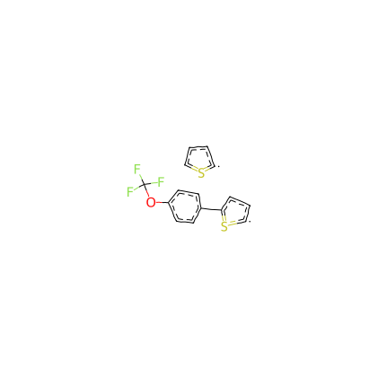 FC(F)(F)Oc1ccc(-c2cc[c]s2)cc1.[c]1cccs1